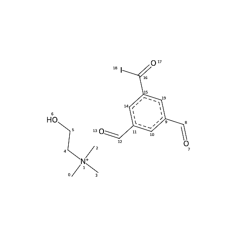 C[N+](C)(C)CCO.O=Cc1cc(C=O)cc(C(=O)I)c1